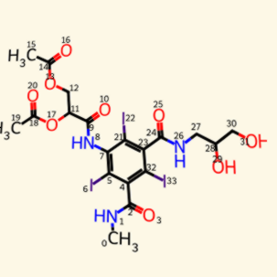 CNC(=O)c1c(I)c(NC(=O)C(COC(C)=O)OC(C)=O)c(I)c(C(=O)NCC(O)CO)c1I